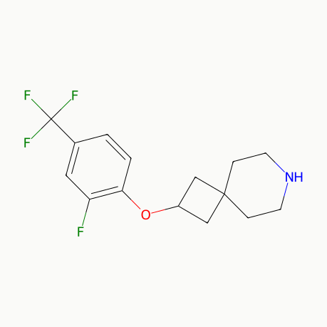 Fc1cc(C(F)(F)F)ccc1OC1CC2(CCNCC2)C1